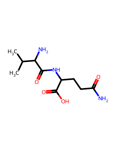 CC(C)C(N)C(=O)NC(CCC(N)=O)C(=O)O